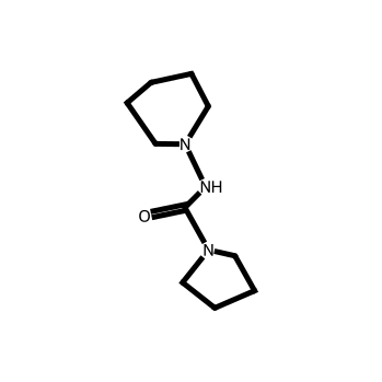 O=C(NN1CCCCC1)N1CCCC1